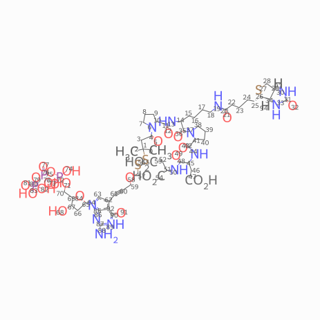 CC(C)(CC(=O)N1CCCC1C(=O)NC(CCCCNC(=O)CCCC[C@@H]1SC[C@@H]2NC(=O)N[C@@H]21)C(=O)N1CCCC1C(=O)NC(CC(=O)O)C(=O)NC(CC(=O)O)C(=O)O)SSCOCC#Cc1cn(C2CC(O)C(COP(=O)(O)OP(=O)(O)OP(=O)(O)O)O2)c2nc(N)[nH]c(=O)c12